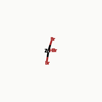 Br.[Br][Zn][Br]